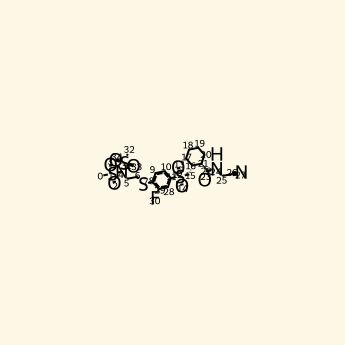 CS(=O)(=O)N(CCSc1ccc(S(=O)(=O)C[C@@H]2CCCC[C@H]2C(=O)NCC#N)cc1F)S(C)(=O)=O